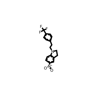 O=[N+]([O-])c1ccc2c(c1)CCN2CCc1ccc(C(F)(F)F)cc1